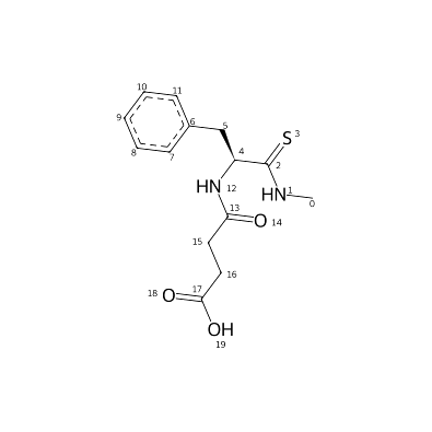 CNC(=S)[C@H](Cc1ccccc1)NC(=O)CCC(=O)O